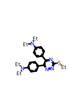 CCSc1nnc(-c2ccc(N(CC)CC)cc2)c(-c2ccc(N(CC)CC)cc2)n1